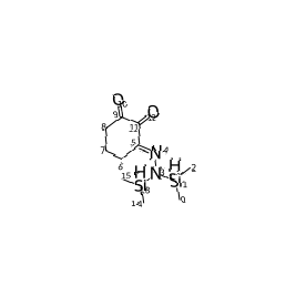 C[SiH](C)N(N=C1CCCC(=O)C1=O)[SiH](C)C